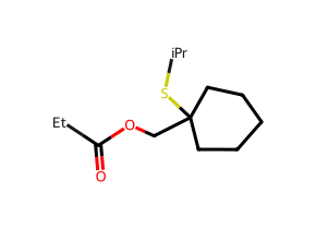 CCC(=O)OCC1(SC(C)C)CCCCC1